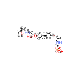 CC(CNCCOS(=O)(=O)O)COCC1CCC(C(C)(C)C2CCC(OCC(O)CNCCC[SiH](C)C3CCCCO3)CC2)CC1